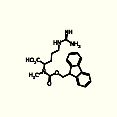 CN(C(=O)OCC1c2ccccc2-c2ccccc21)C(CCCNC(=N)N)C(=O)O